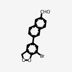 O=Cc1ccc2cc(-c3cc(Br)c4c(c3)COO4)ccc2c1